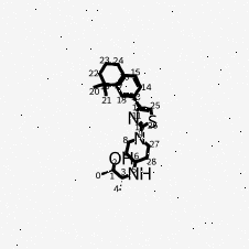 C[C@@H](O)[C@@H](C)NC1CCN(c2nc(-c3ccc4c(c3)C(C)(C)CCC4)cs2)CC1